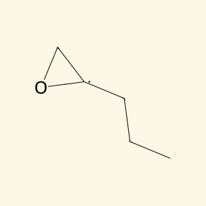 CCC[C]1CO1